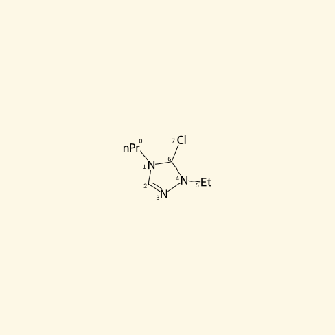 CCCN1C=NN(CC)C1Cl